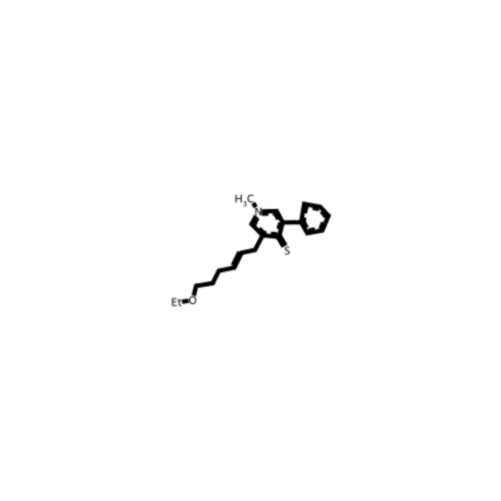 CCOCCC/C=C/Cc1cn(C)cc(-c2ccccc2)c1=S